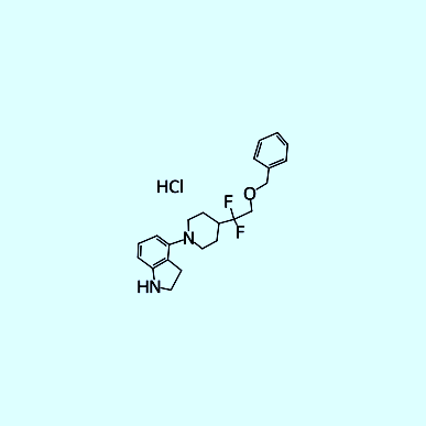 Cl.FC(F)(COCc1ccccc1)C1CCN(c2cccc3c2CCN3)CC1